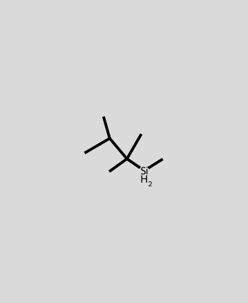 C[SiH2]C(C)(C)C(C)C